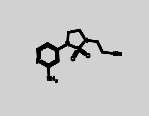 CC(C)(C)CCN1CCN(c2ccnc(N)c2)S1(=O)=O